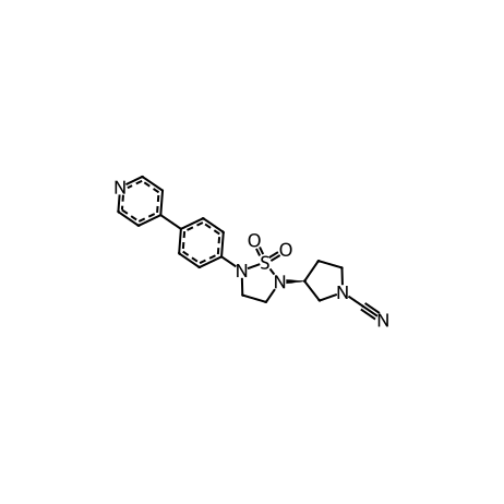 N#CN1CC[C@H](N2CCN(c3ccc(-c4ccncc4)cc3)S2(=O)=O)C1